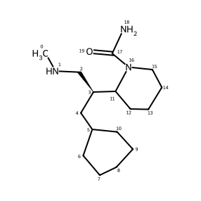 CNC[C@H](CC1CCCCC1)C1CCCCN1C(N)=O